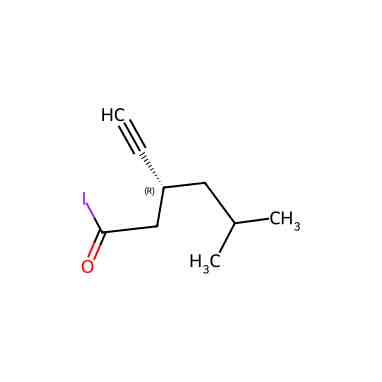 C#C[C@@H](CC(=O)I)CC(C)C